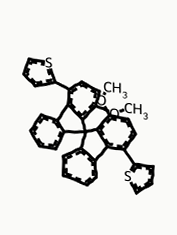 COc1ccc(-c2cccs2)c2c1C1(c3ccccc3-2)c2ccccc2-c2c(-c3cccs3)ccc(OC)c21